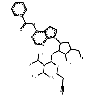 CCC1CC(n2ccc3c(NC(=O)c4ccccc4)ncnc32)C(OP(OCCC#N)N(C(C)C)C(C)C)C1C